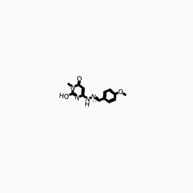 COc1ccc(/C=N/Nc2cc(=O)n(C)c(O)n2)cc1